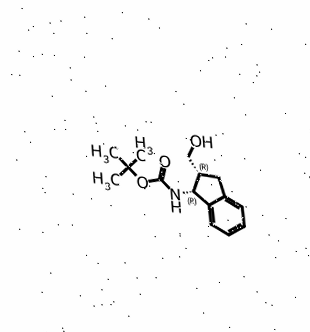 CC(C)(C)OC(=O)N[C@H]1c2ccccc2C[C@H]1CO